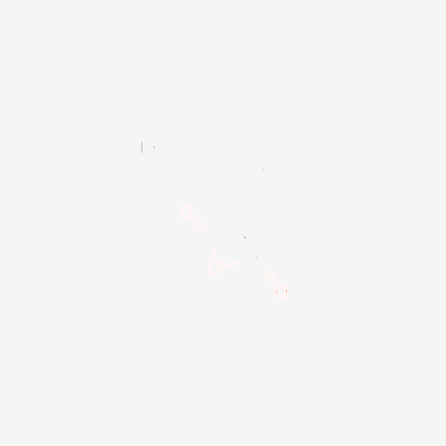 C=CCC1CCCCC12C(=O)OC2=O